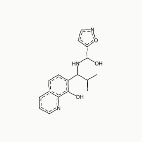 CC(C)C(NC(O)c1ccno1)c1ccc2cccnc2c1O